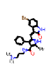 CCN(CC)CCCNC(=O)c1c(C(C)C)[nH]c(/C=C2\C(=O)Nc3ccc(Br)cc32)c1-c1ccccc1